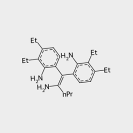 CCCC(N)=C(c1ccc(CC)c(CC)c1N)c1ccc(CC)c(CC)c1N